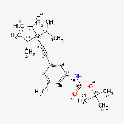 Cc1cc(C#C[Si](C(C)C)(C(C)C)C(C)C)cc(NC(=O)OC(C)(C)C)c1